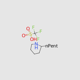 CCCCCC1CCCCN1.O=S(=O)(O)C(F)(F)F